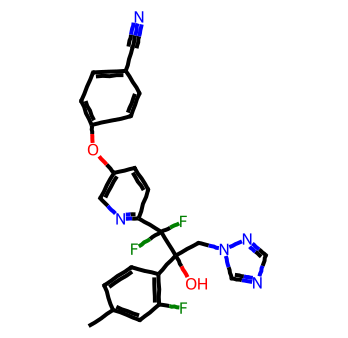 Cc1ccc(C(O)(Cn2cncn2)C(F)(F)c2ccc(Oc3ccc(C#N)cc3)cn2)c(F)c1